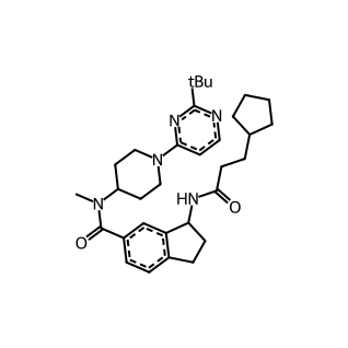 CN(C(=O)c1ccc2c(c1)C(NC(=O)CCC1CCCC1)CC2)C1CCN(c2ccnc(C(C)(C)C)n2)CC1